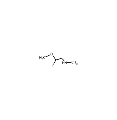 CNCC(F)OC